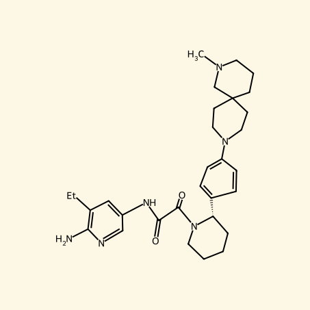 CCc1cc(NC(=O)C(=O)N2CCCC[C@H]2c2ccc(N3CCC4(CCCN(C)C4)CC3)cc2)cnc1N